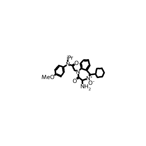 COc1ccc(N(C(=O)CN2C(=O)C(N)[N+]([O-])=C(C3CCCCC3)c3ccccc32)C(C)C)cc1